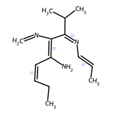 C=NC(/C(=N\C=C\C)C(C)C)=C(N)\C=C/CC